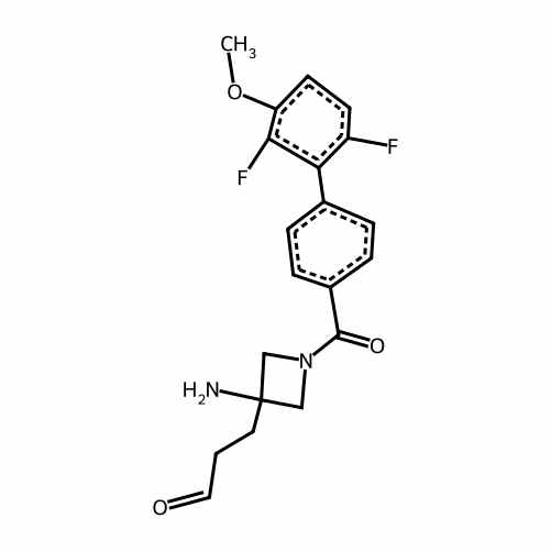 COc1ccc(F)c(-c2ccc(C(=O)N3CC(N)(CCC=O)C3)cc2)c1F